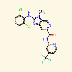 Cn1c(Nc2c(Cl)cccc2Cl)nc2cc(C(=O)Nc3cc(C(F)(F)F)ccn3)ncc21